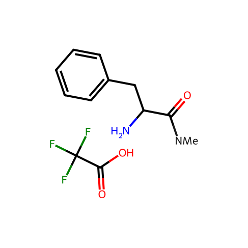 CNC(=O)C(N)Cc1ccccc1.O=C(O)C(F)(F)F